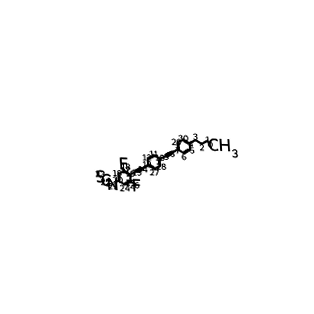 CCCCc1ccc(C#Cc2ccc(C#Cc3c(F)cc(N=C=S)cc3F)cc2)cc1